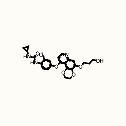 O=C(Nc1ccc(Oc2ccnc3cc(OCCCO)c4c(c23)OCCO4)cc1Cl)NC1CC1